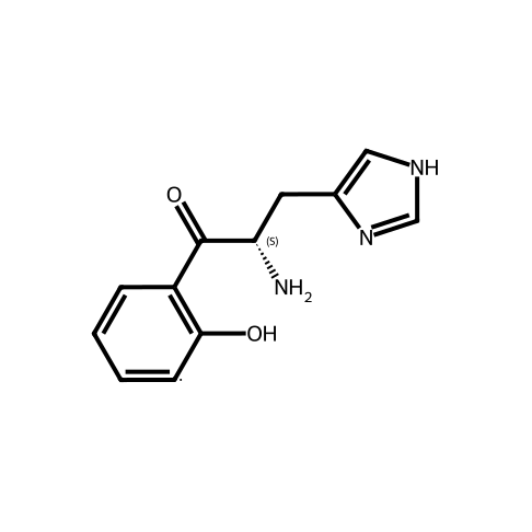 N[C@@H](Cc1c[nH]cn1)C(=O)c1ccc[c]c1O